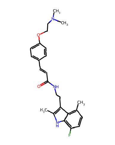 Cc1[nH]c2c(F)ccc(C)c2c1CCNC(=O)C=Cc1ccc(OCCN(C)C)cc1